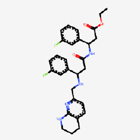 CCOC(=O)CC(NC(=O)CC(NCc1ccc2c(n1)NCCC2)c1cccc(F)c1)c1cccc(F)c1